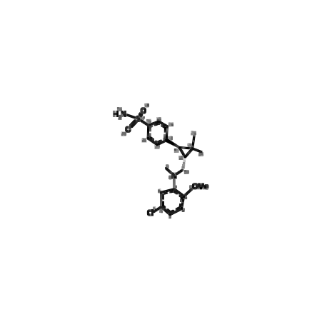 COc1ccc(Cl)cc1N(C)C[C@@H]1[C@@H](c2ccc(S(N)(=O)=O)cc2)C1(C)C